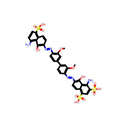 COc1cc(-c2ccc(/N=N/c3ccc4c(S(=O)(=O)O)cc(S(=O)(=O)O)c(N)c4c3O)c(OC)c2)ccc1/N=N/c1ccc2c(S(=O)(=O)O)ccc(N)c2c1O